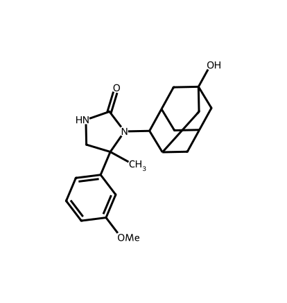 COc1cccc(C2(C)CNC(=O)N2C2C3CC4CC2CC(O)(C4)C3)c1